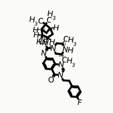 C[C@H]1[C@@H](NC(=Nc2ccc3c(=O)n(CCc4ccc(F)cc4)cnc3c2)N2C[C@@H](C)N[C@@H](C)C2)C[C@@H]2C[C@@H]1C2(C)C